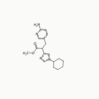 COC(=O)C(Cc1ccc(N)nc1)c1cn(C2CCCCC2)cn1